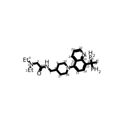 CCN(CC)CC(=O)NCC1CCN(c2ccc(C(F)(P)P)c3ncccc23)CC1